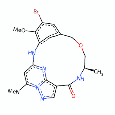 CNc1cc2nc3c(cnn13)C(=O)N[C@H](C)COCc1cc(Br)c(OC)c(c1)N2